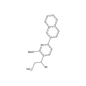 COc1nc(-c2ccc3ccccc3c2)ccc1C(CC(=O)O)C(C)C